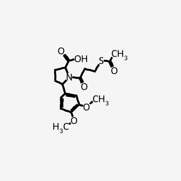 COc1ccc(C2CCC(C(=O)O)N2C(=O)CCSC(C)=O)cc1OC